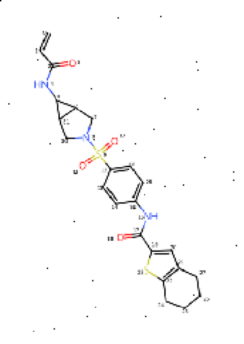 C=CC(=O)NC1C2CN(S(=O)(=O)c3ccc(NC(=O)c4cc5c(s4)CCCC5)cc3)CC21